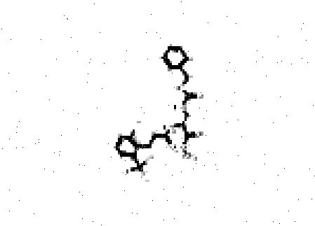 COC(=O)[C@H](CNC(=O)OCc1ccccc1)NC(=O)CCc1c(F)cccc1C(F)(F)F